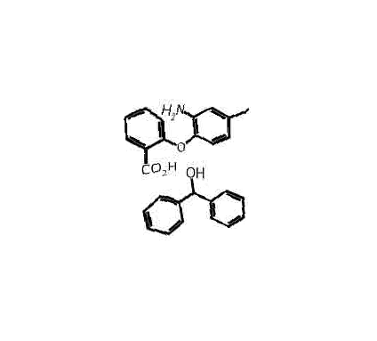 Cc1ccc(Oc2ccccc2C(=O)O)c(N)c1.OC(c1ccccc1)c1ccccc1